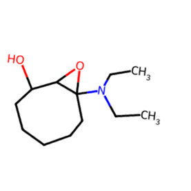 CCN(CC)C12CCCCCC(O)C1O2